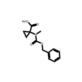 COC(=O)C1(N(C)C(=O)OCc2ccccc2)CC1